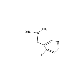 CN(C=O)Cc1ccccc1F